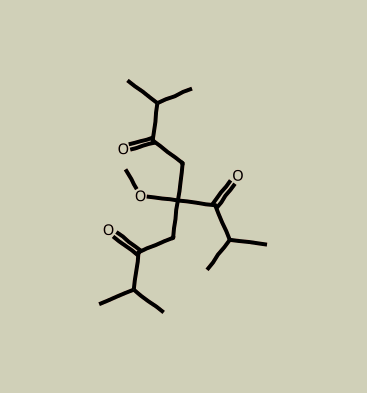 COC(CC(=O)C(C)C)(CC(=O)C(C)C)C(=O)C(C)C